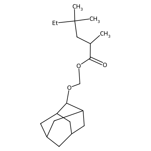 CCC(C)(C)CC(C)C(=O)OCOC1C2CC3CC(C2)CC1C3